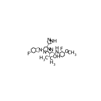 COc1cccc(NC(O)c2nn3c(-c4cn[nH]c4)cc(N4Cc5ccc(F)cc5C4)nc3c2C(C)C)c1F